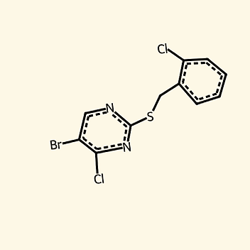 Clc1ccccc1CSc1ncc(Br)c(Cl)n1